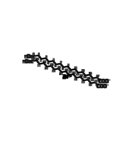 CCCCCCCCCCCCCCCCCCCCCCCCCCCC(=O)[O-].CCCCCCCCCCCCCCCCCCCCCCCCCCCC(=O)[O-].[Zn+2]